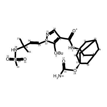 CC(C)COc1c(C(=O)N[C@]23CC4CC(C2)C[C@](OC(N)=O)(C4)C3)cnn1/C=C/C(C)(C)NS(C)(=O)=O